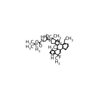 CCc1cccc2c1-n1nc3c(c1C1(C)C2=CC(C)(F)c2[nH]ccc21)CN(C(=O)CNC(=O)OC(C)(C)C)C3(C)C